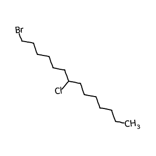 CCCCCCCC(Cl)CCCCCCBr